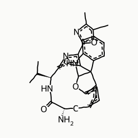 Cc1nc(-c2nc3oc2C24c5ccccc5NC2Oc2ccc(cc24)C[C@H](N)C(=O)N[C@H]3C(C)C)oc1C